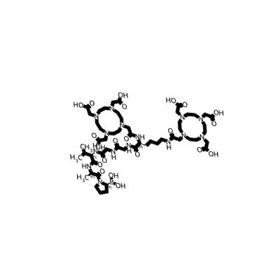 CC(C)[C@H](NC(=O)CNC(=O)CNC(=O)[C@@H](CCCCNC(=O)CN1CCN(CC(=O)O)CCN(CC(=O)O)CCN(CC(=O)O)CC1)NC(=O)CN1CCN(CC(=O)O)CCN(CC(=O)O)CCN(CC(=O)O)CC1)C(=O)N[C@H](C)C(=O)N1CCC[C@H]1B(O)O